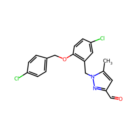 Cc1cc(C=O)nn1Cc1cc(Cl)ccc1OCc1ccc(Cl)cc1